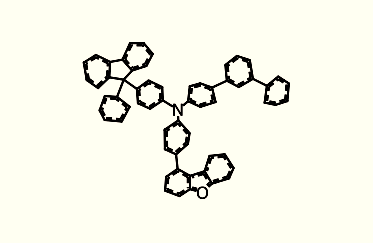 c1ccc(-c2cccc(-c3ccc(N(c4ccc(-c5cccc6oc7ccccc7c56)cc4)c4ccc(C5(c6ccccc6)c6ccccc6-c6ccccc65)cc4)cc3)c2)cc1